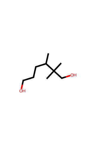 CC(CCCO)C(C)(C)CO